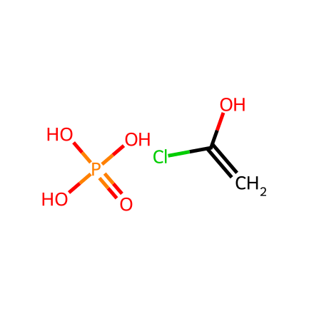 C=C(O)Cl.O=P(O)(O)O